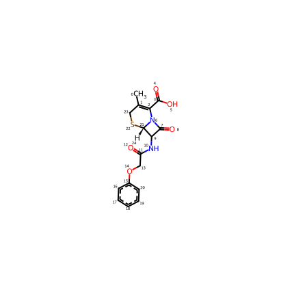 CC1=C(C(=O)O)N2C(=O)C(NC(=O)COc3ccccc3)[C@@H]2SC1